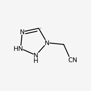 N#CCN1[C]=NNN1